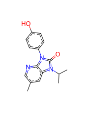 Cc1cnc2c(c1)n(C(C)C)c(=O)n2-c1ccc(O)cc1